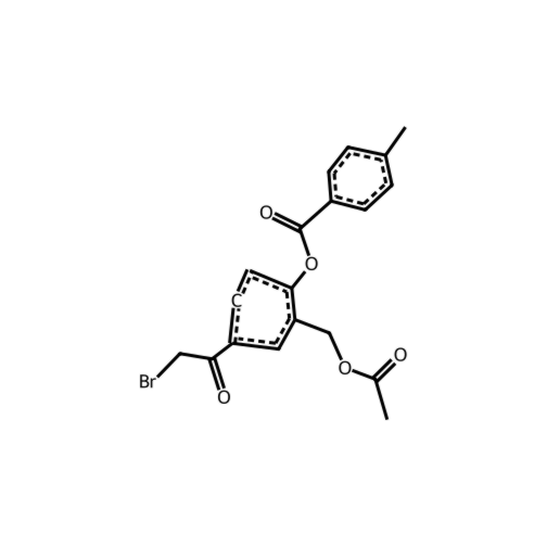 CC(=O)OCc1cc(C(=O)CBr)ccc1OC(=O)c1ccc(C)cc1